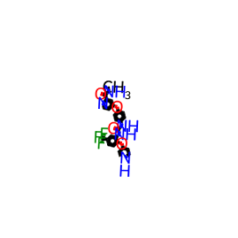 CNC(=O)c1cc(Oc2ccc(NC(=O)Nc3cc(C(F)(F)F)ccc3OC3CCNCC3)cc2)ccn1